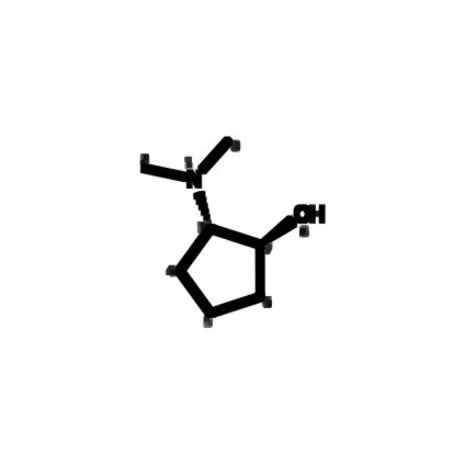 CN(C)[C@H]1CCC[C@@H]1O